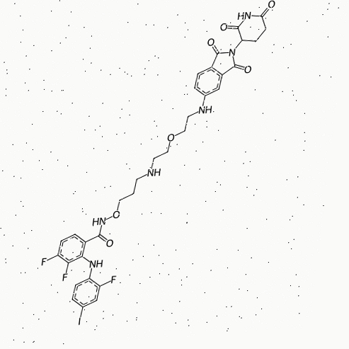 O=C1CCC(N2C(=O)c3ccc(NCCOCCNCCCONC(=O)c4ccc(F)c(F)c4Nc4ccc(I)cc4F)cc3C2=O)C(=O)N1